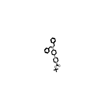 CC(C)(C)OC(=O)N1CCN([C@H]2CC[C@@H](N(Cc3ccccc3)Cc3ccccc3)CC2)CC1